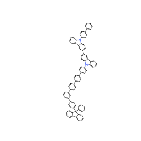 c1ccc(-c2ccc(-n3c4ccccc4c4cc(-c5ccc6c(c5)c5ccccc5n6-c5ccc(-c6ccc(-c7ccc(-c8cccc(-c9ccc(C%10(c%11ccccc%11)c%11ccccc%11-c%11ccccc%11%10)cc9)c8)cc7)cc6)cc5)ccc43)cc2)cc1